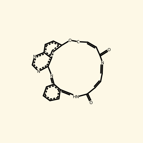 O=C1/C=C\COc2ccc3ncnc(c3c2)/N=c2/cccc/c2=C/NC(=O)/C=C\C=N/1